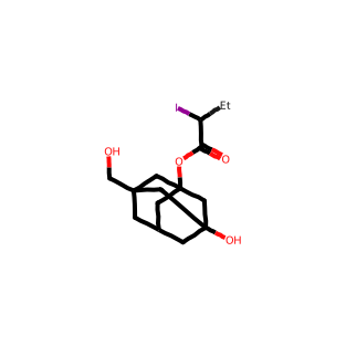 CCC(I)C(=O)OC12CC3CC(O)(CC(CO)(C3)C1)C2